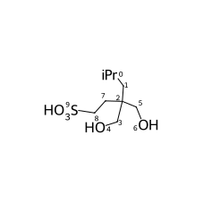 CC(C)CC(CO)(CO)CCS(=O)(=O)O